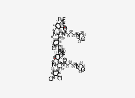 CN(Cc1ccc(C(F)(F)F)c(F)c1)C1CN(C(=O)CCCCN2CCOCC2)CC1c1ccc(Cl)c(Cl)c1.CN(Cc1ccc(C(F)(F)F)cc1)C1CN(C(=O)CCCCN2CCOCC2)CC1c1ccc(Cl)c(Cl)c1